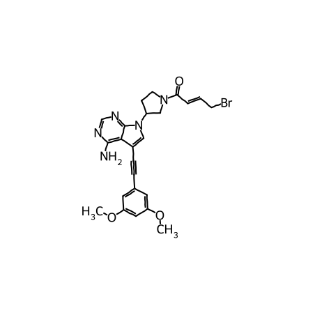 COc1cc(C#Cc2cn(C3CCN(C(=O)C=CCBr)C3)c3ncnc(N)c23)cc(OC)c1